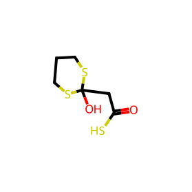 O=C(S)CC1(O)SCCCS1